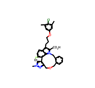 CCc1c2c(nn1C)COCc1ccccc1Cn1c(C(=O)O)c(CCCOc3cc(C)c(Cl)c(C)c3)c3ccc(F)c-2c31